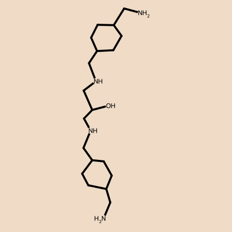 NCC1CCC(CNCC(O)CNCC2CCC(CN)CC2)CC1